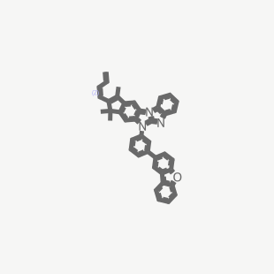 C=C/C=C\C1=C(C)c2cc3c(cc2C1(C)C)n(-c1cccc(-c2ccc4oc5ccccc5c4c2)c1)c1nc2ccccc2n31